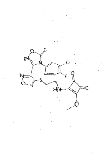 COc1c(NCCSc2nonc2-c2noc(=O)n2-c2ccc(F)c(Cl)c2)c(=O)c1=O